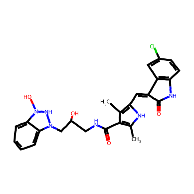 Cc1[nH]c(C=C2C(=O)Nc3ccc(Cl)cc32)c(C)c1C(=O)NCC(O)CN1NN(O)c2ccccc21